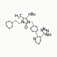 CCCCc1c(C)n(CCc2ccccc2)c(=O)n1Cc1ccc(-c2ncccc2-c2nnn[nH]2)cc1